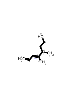 C=C/C=C(\C)[C@H](C)CCO